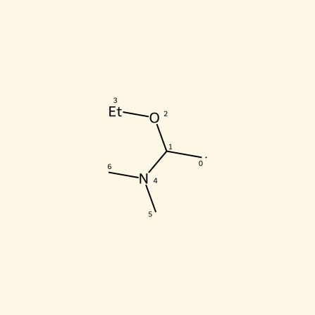 [CH2]C(OCC)N(C)C